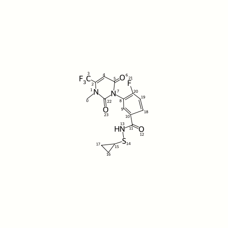 Cn1c(C(F)(F)F)cc(=O)n(-c2cc(C(=O)NSC3CC3)ccc2F)c1=O